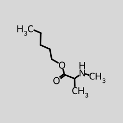 CCCCCOC(=O)C(C)NC